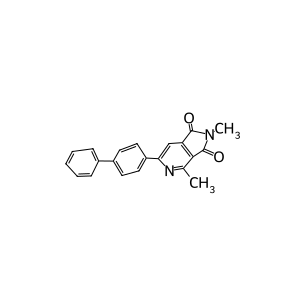 Cc1nc(-c2ccc(-c3ccccc3)cc2)cc2c1C(=O)N(C)C2=O